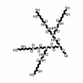 COCCOCCN(CCC(=O)NCCN(CCC(=O)NCCNC(=O)CCCCC(S)CCS)CCC(=O)NCCNC(=O)CCCCC(S)CCS)CCC(=O)NCCN(CCC(=O)NCCNC(=O)CCCCC(S)CCS)CCC(=O)NCCNC(=O)CCCCC(S)CCS